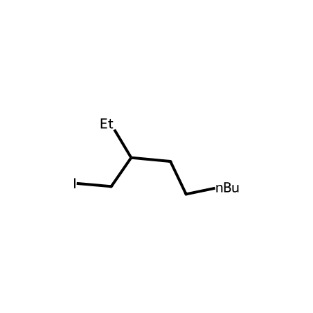 CCCCCCC(CC)CI